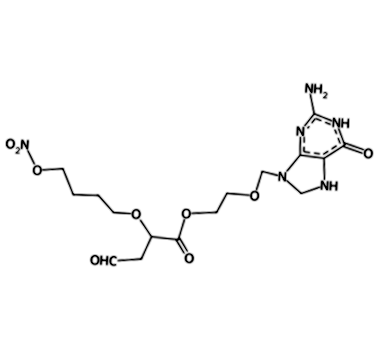 Nc1nc2c(c(=O)[nH]1)NCN2COCCOC(=O)C(CC=O)OCCCCO[N+](=O)[O-]